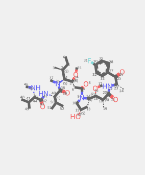 CC[C@H](C)[C@@H]([C@@H](CC(=O)N1C[C@@H](O)C[C@H]1[C@H](OC)[C@@H](C)C(=O)N[C@@H](C)C(=O)c1ccc(F)cc1)OC)N(C)C(=O)[C@@H](NC(=O)[C@@H](NC)C(C)C)C(C)C